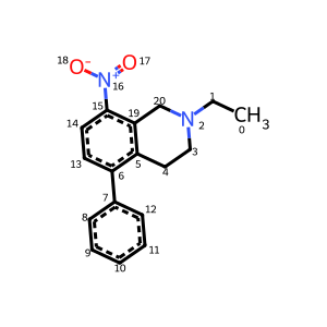 CCN1CCc2c(-c3ccccc3)ccc([N+](=O)[O-])c2C1